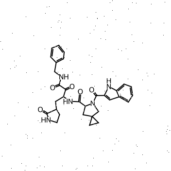 O=C(NCc1ccccc1)C(=O)C(CC1CCNC1=O)NC(=O)C1CC2(CC2)CN1C(=O)c1cc2ccccc2[nH]1